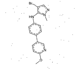 COc1ccc(-c2ccc(Nc3c(Br)cnn3C)cc2)cn1